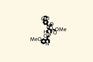 COC(=O)C[C@@H]1CN(C[C@H](O)c2ccnc3ccc(OC)cc23)CC[C@]12CN(c1ccc3c(c1)OCCO3)C(=O)O2